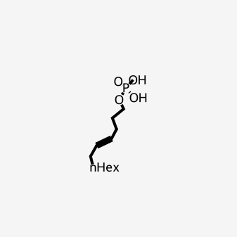 CCCCCCCC#CCCCOP(=O)(O)O